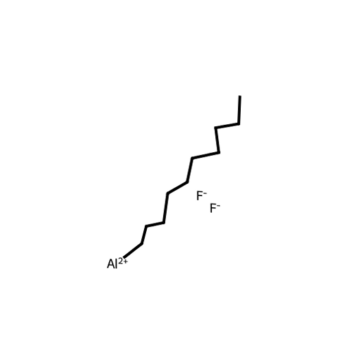 CCCCCCCCC[CH2][Al+2].[F-].[F-]